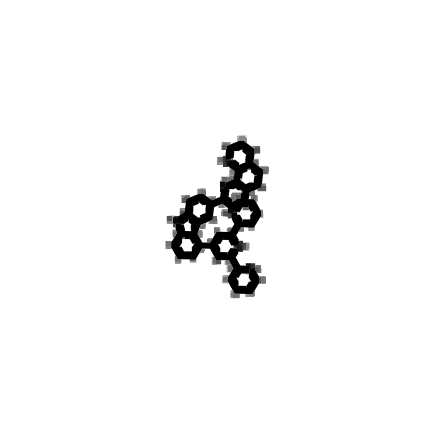 c1ccc(-c2cc(-c3cccc4sc5ccc(-c6ccc7ccc8cccnc8c7n6)cc5c34)cc(-c3ccccn3)n2)nc1